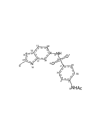 CC(=O)Nc1ccc(S(=O)(=O)Nc2ccc3sc(C)nc3c2)cc1